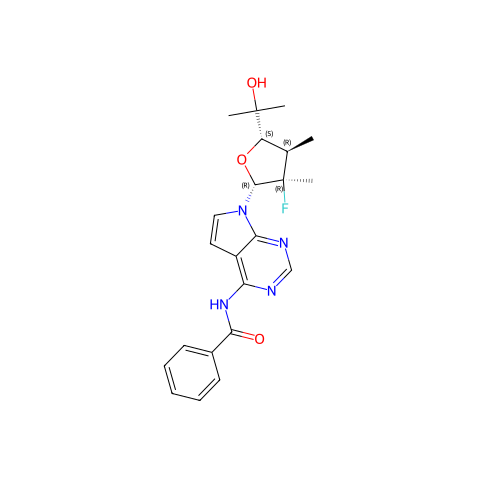 C[C@@H]1[C@@H](C(C)(C)O)O[C@@H](n2ccc3c(NC(=O)c4ccccc4)ncnc32)[C@]1(C)F